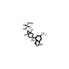 CNS(=O)(=O)N[C@@H]1[C@@H]2C[C@@](O)(c3cc(C(F)(F)F)cc4[nH]ncc34)C[C@@H]21